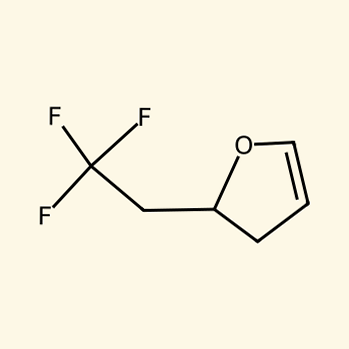 FC(F)(F)CC1CC=CO1